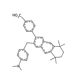 CN(C)c1ccc(Cc2cc3cc4c(cc3cc2-c2ccc(C(=O)O)cc2)C(C)(C)CCC4(C)C)cc1